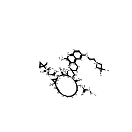 CC(C)(C)OC(=O)N[C@H]1CCCCC/C=C\[C@@H]2C[C@@]2(C(=O)NS(=O)(=O)C2(C)CC2)NC(=O)[C@@H]2C[C@]3(CCc4c(c(C(F)(F)F)nc5ccc(OCCN6CC(F)(F)C6)cc45)O3)CN2C1=O